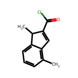 Cc1cccc2c1C=C(C(=O)Cl)C2C